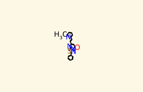 Cc1cccc(/C=C/c2cc(=O)n3nc(-c4ccccc4)sc3n2)n1